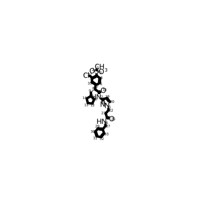 CS(=O)(=O)c1ccc([C@@H](CC2CCCC2)C(=O)Nc2ccn(CCC(=O)NCc3ccccc3)n2)cc1Cl